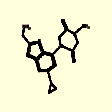 CN1CC(=O)N(c2cc(C3CC3)cn3cc(CN)nc23)CC1=O